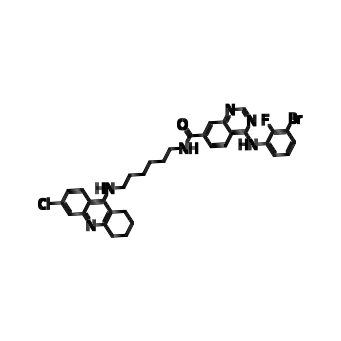 O=C(NCCCCCCNc1c2c(nc3cc(Cl)ccc13)CCCC2)c1ccc2c(Nc3cccc(Br)c3F)ncnc2c1